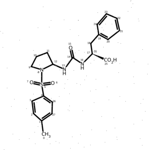 Cc1ccc(S(=O)(=O)N2CCCC2NC(=O)N[C@@H](Cc2ccccc2)C(=O)O)cc1